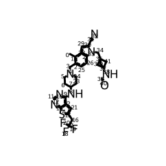 Cc1c(CN2CCC(Nc3ncnc4sc(CC(F)(F)F)cc34)CC2)ccc2c1cc(C#N)n2CC12CC(NC=O)(C1)C2